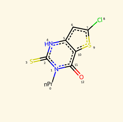 CCCn1c(=S)[nH]c2cc(Cl)sc2c1=O